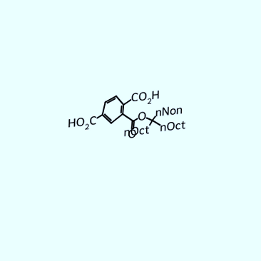 CCCCCCCCCC(CCCCCCCC)(CCCCCCCC)OC(=O)c1cc(C(=O)O)ccc1C(=O)O